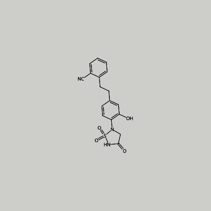 N#Cc1ccccc1CCc1ccc(N2CC(=O)NS2(=O)=O)c(O)c1